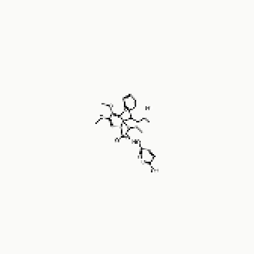 CCCC(c1ccccc1)C1(N(CC)CC)C(OC)=C(OC)C(OC)=CC1C(=O)[O-].O=C(O)/C=C\C(=O)O.[H+]